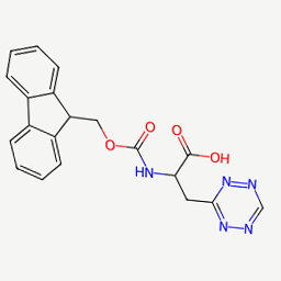 O=C(NC(Cc1nncnn1)C(=O)O)OCC1c2ccccc2-c2ccccc21